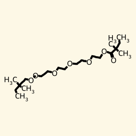 CCC(C)(C)COOCCOCCOCCOCCOC(=O)C(C)(C)CC